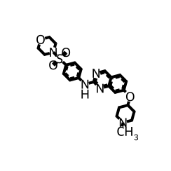 CN1CCC(Oc2ccc3cnc(Nc4ccc(S(=O)(=O)N5CCOCC5)cc4)nc3c2)CC1